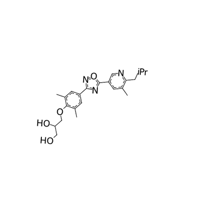 Cc1cc(-c2nc(-c3cc(C)c(OCC(O)CO)c(C)c3)no2)cnc1CC(C)C